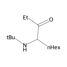 CCCCCCC(NC(C)(C)C)C(=O)CC